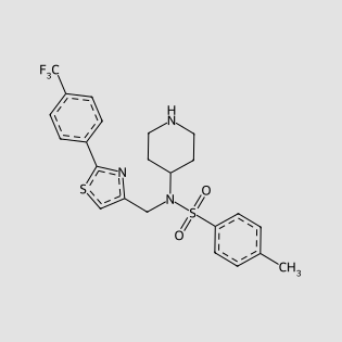 Cc1ccc(S(=O)(=O)N(Cc2csc(-c3ccc(C(F)(F)F)cc3)n2)C2CCNCC2)cc1